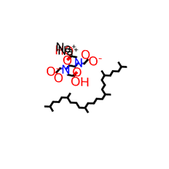 CC(C)CCCC(C)CCCC(C)CCCCC(C)CCCC(C)CCCC(C)C.O=C([O-])CN(CCN(CC(=O)[O-])CC(=O)O)CC(=O)O.[Na+].[Na+]